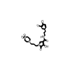 O=C(NCCCc1ccc(Cl)c(Cl)c1)C1=C(O)C(=O)N(CCCN2CCS(=O)(=O)CC2)C1